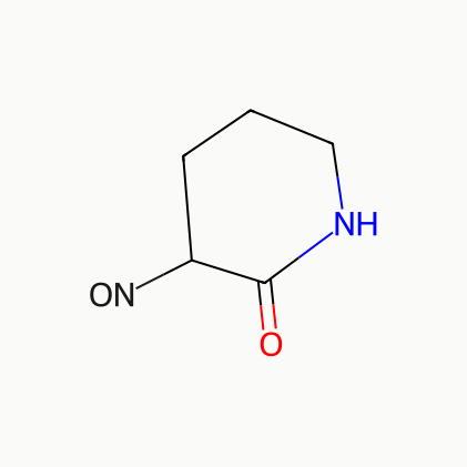 O=NC1CCCNC1=O